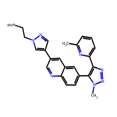 CNCCn1cc(-c2cnc3ccc(-c4c(-c5cccc(C)n5)nnn4C)cc3c2)cn1